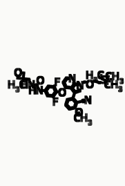 COc1cccc(-c2cn(COCC[Si](C)(C)C)c3nccc(Oc4c(F)cc(NC(=O)NCC5(C)COC5)cc4F)c23)c1C#N